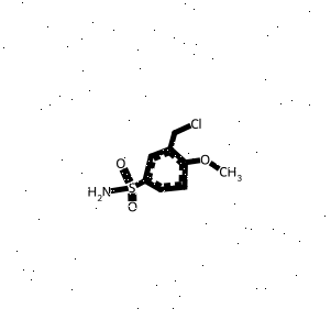 COc1ccc(S(N)(=O)=O)cc1CCl